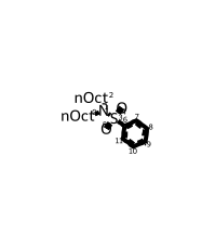 CCCCCCCCN(CCCCCCCC)S(=O)(=O)c1cc[c]cc1